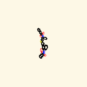 O=c1c(=NC2=Cc3cc4sc5cc6c(cc5c4cc3C23CCCCC3)C2(CCCCC2)C(N=c2c(=O)c3cc4ccccc4cc3c2=O)=C6)c(=O)c2cc3ccccc3cc12